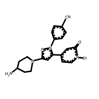 CCn1ccc(-c2cc(N3CCC(N)CC3)nn2-c2ccc(C#N)cc2)cc1=O